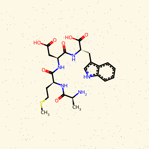 CSCC[C@H](NC(=O)[C@H](C)N)C(=O)N[C@@H](CC(=O)O)C(=O)N[C@@H](Cc1c[nH]c2ccccc12)C(=O)O